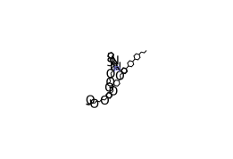 C=CC(=O)OCCCOc1ccc(OC(=O)C2CCC(COc3ccc(C4CCC(C5CCC(CCC)CC5)CC4)cc3/C=N/N(CCOCCOC)c3nc4ccccc4s3)CC2)cc1